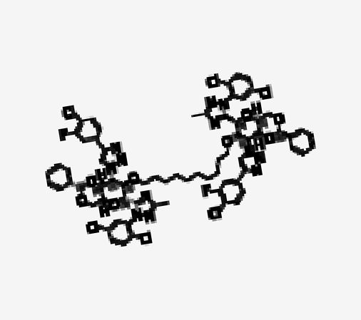 Cc1nc([C@H]2O[C@H]3CO[C@@H](c4ccccc4)O[C@H]3[C@@H](n3cc(-c4ccc(Cl)c(F)c4)nn3)[C@@H]2OCCCCCCCCCCO[C@@H]2[C@@H](n3cc(-c4ccc(Cl)c(F)c4)nn3)[C@H]3O[C@@H](c4ccccc4)OC[C@H]3O[C@H]2c2nc(C)nn2-c2cc(Cl)ccc2Cl)n(-c2cc(Cl)ccc2Cl)n1